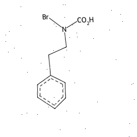 O=C(O)N(Br)CCc1ccccc1